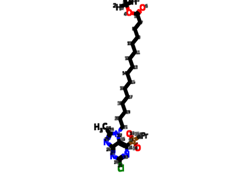 [2H]C([2H])([2H])OC(=O)CCCCCCCCCCCCCCCn1c(C)nc2nc(Cl)nc(S(=O)(=O)C(C)C)c21